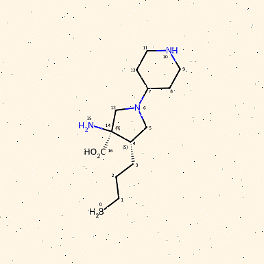 BCCC[C@H]1CN(C2CCNCC2)C[C@@]1(N)C(=O)O